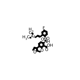 CC[As](CC)CC=Cc1cc(F)ccc1S(=O)(=O)Nc1ccc2c(c1C(=O)O)OCc1occc1-2